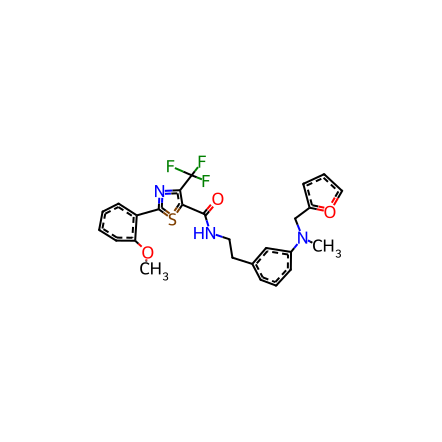 COc1ccccc1-c1nc(C(F)(F)F)c(C(=O)NCCc2cccc(N(C)Cc3ccco3)c2)s1